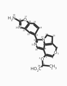 CC(OC1=COCC2=C3C1=CN=C(c1ccc4oc(N)nc4c1)N3CC2)C(=O)O